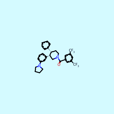 O=C(c1cc(C(F)(F)F)cc(C(F)(F)F)c1)N1CC[C@@H](c2ccccc2)[C@@H](c2cccc(N3CCCC3)c2)C1